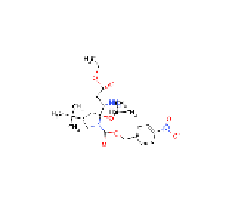 CCOC(=O)CC(N)[C@@]1(O[SiH](C)C)C[C@H](C(C)(C)C)CN1C(=O)OCc1ccc([N+](=O)[O-])cc1